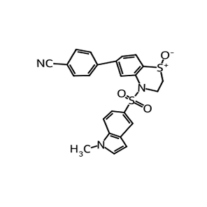 Cn1ccc2cc(S(=O)(=O)N3CC[S+]([O-])c4ccc(-c5ccc(C#N)cc5)cc43)ccc21